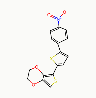 O=[N+]([O-])c1ccc(-c2ccc(-c3scc4c3OCCO4)s2)cc1